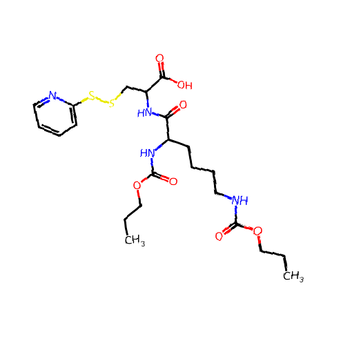 CCCOC(=O)NCCCCC(NC(=O)OCCC)C(=O)NC(CSSc1ccccn1)C(=O)O